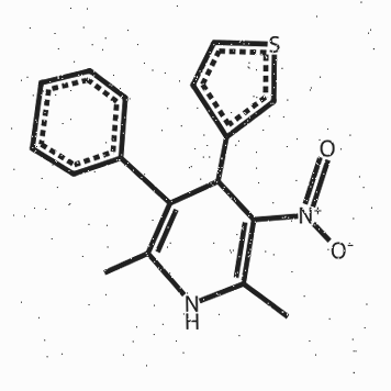 CC1=C(c2ccccc2)C(c2ccsc2)C([N+](=O)[O-])=C(C)N1